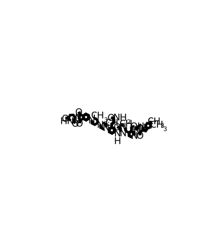 C[C@H]1CC(N2CCN(c3ccc(Nc4nc(-c5ccnc(N6CCn7c(cc8c7CC(C)(C)C8)C6=O)c5CO)cn(C)c4=O)cc3C=CC(N)=O)[C@@H](C)C2)CCN1c1ccc2c(c1)C(=O)N(C1CCC(=O)NC1=O)C2=O